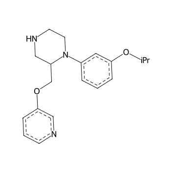 CC(C)Oc1cccc(N2CCNCC2COc2cccnc2)c1